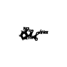 CCCCCCOC(=O)NC(=O)c1ccccc1[N+](=O)[O-]